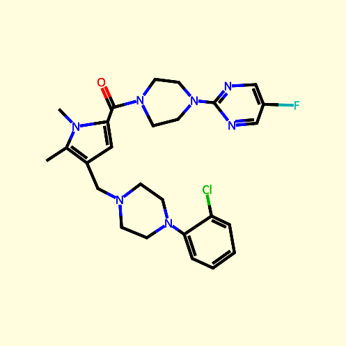 Cc1c(CN2CCN(c3ccccc3Cl)CC2)cc(C(=O)N2CCN(c3ncc(F)cn3)CC2)n1C